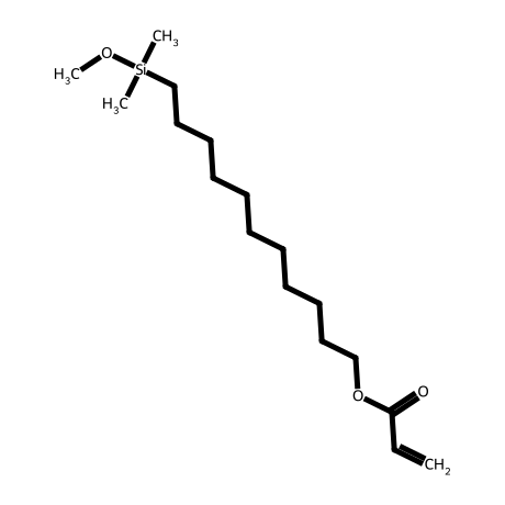 C=CC(=O)OCCCCCCCCCCC[Si](C)(C)OC